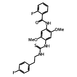 COc1cc(NC(=S)NCCc2ccc(F)cc2)c(OC)cc1NC(=O)c1ccccc1F